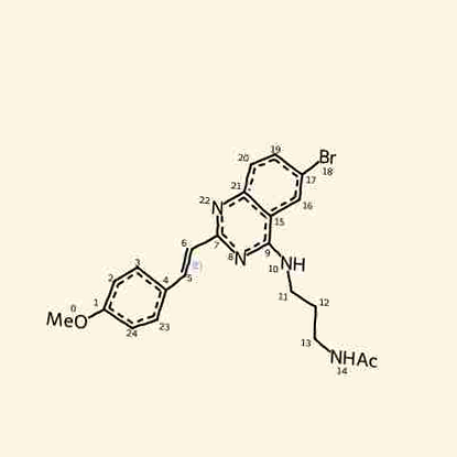 COc1ccc(/C=C/c2nc(NCCCNC(C)=O)c3cc(Br)ccc3n2)cc1